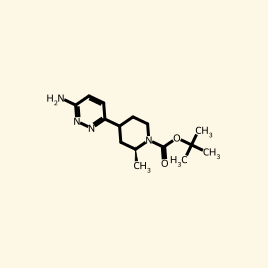 C[C@H]1CC(c2ccc(N)nn2)CCN1C(=O)OC(C)(C)C